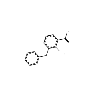 Cc1c(Cc2ccccc2)cccc1C(=O)O